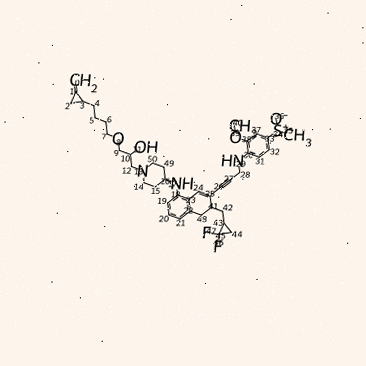 C=C1CC1CCCCOCC(O)CN1CCC(Nc2cccc3c2C=C(C#CCNc2ccc([S+](C)[O-])cc2OC)C(CC2CC2(F)F)C3)CC1